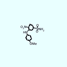 COc1ccc(Nc2cc(S(N)(=O)=O)ccc2[N+](=O)[O-])cc1